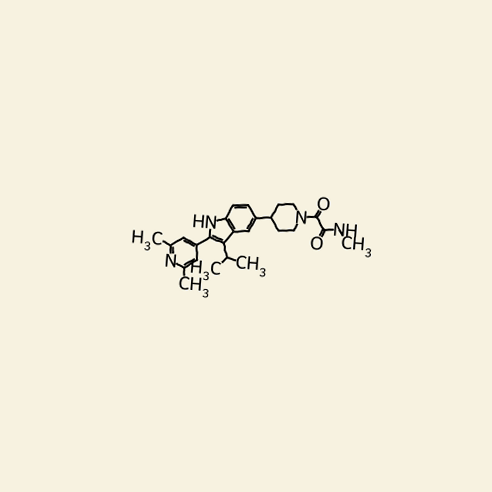 CNC(=O)C(=O)N1CCC(c2ccc3[nH]c(-c4cc(C)nc(C)c4)c(C(C)C)c3c2)CC1